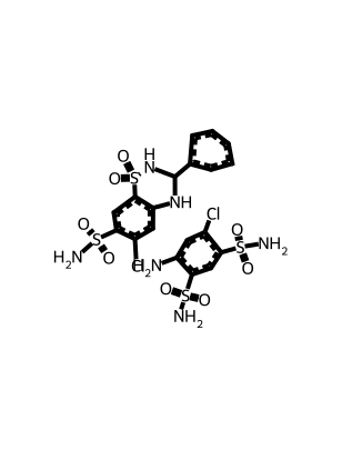 NS(=O)(=O)c1cc2c(cc1Cl)NC(c1ccccc1)NS2(=O)=O.Nc1cc(Cl)c(S(N)(=O)=O)cc1S(N)(=O)=O